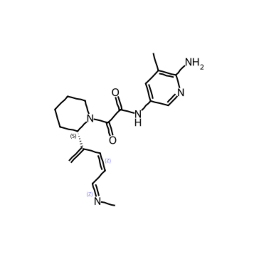 C=C(/C=C\C=N/C)[C@@H]1CCCCN1C(=O)C(=O)Nc1cnc(N)c(C)c1